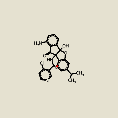 CC(C)c1ccc2c(c1)OC1(O)c3cccc(N)c3C(=O)C21NC(=O)c1cnccc1Cl